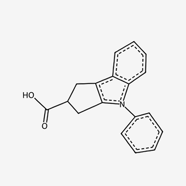 O=C(O)C1Cc2c(n(-c3ccccc3)c3ccccc23)C1